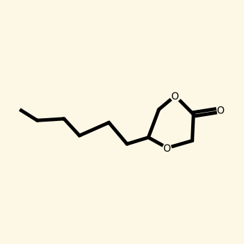 CCCCCCC1COC(=O)CO1